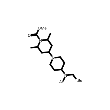 COC(=O)N1C(C)CC(N2CCC(N(CC(C)(C)C)C(C)=O)CC2)CC1C